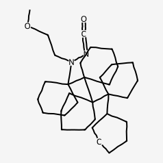 COCCN(N=C=O)C1(C2(C3(C4(C5CCCCC5)CCCCC4)CCCCC3)CCCCC2)CCCCC1